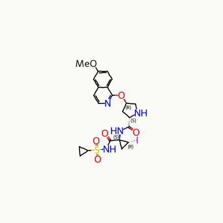 COc1ccc2c(O[C@H]3CN[C@H](C(=O)N[C@]4(C(=O)NS(=O)(=O)C5CC5)C[C@H]4I)C3)nccc2c1